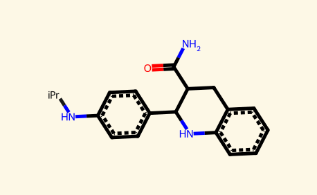 CC(C)Nc1ccc(C2Nc3ccccc3CC2C(N)=O)cc1